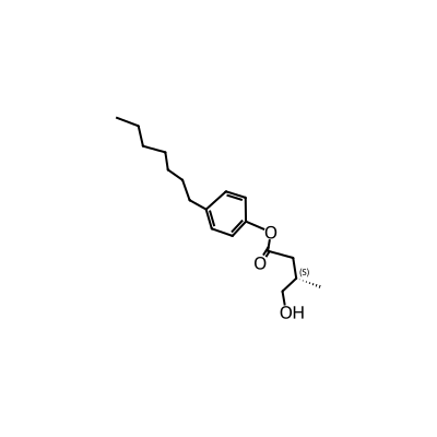 CCCCCCCc1ccc(OC(=O)C[C@H](C)CO)cc1